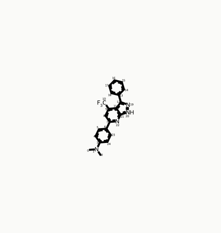 CN(C)c1ccc(-c2cc(C(F)(F)F)c3c(-c4ccccc4)n[nH]c3n2)cc1